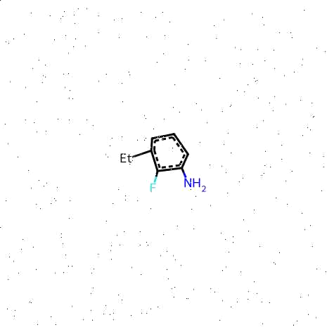 CCc1cccc(N)c1F